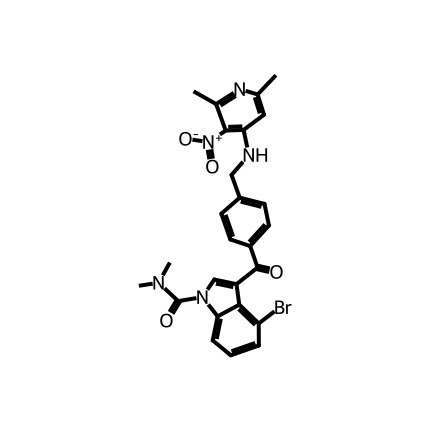 Cc1cc(NCc2ccc(C(=O)c3cn(C(=O)N(C)C)c4cccc(Br)c34)cc2)c([N+](=O)[O-])c(C)n1